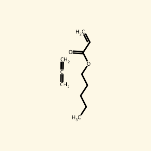 C=C=C.C=CC(=O)OCCCCC